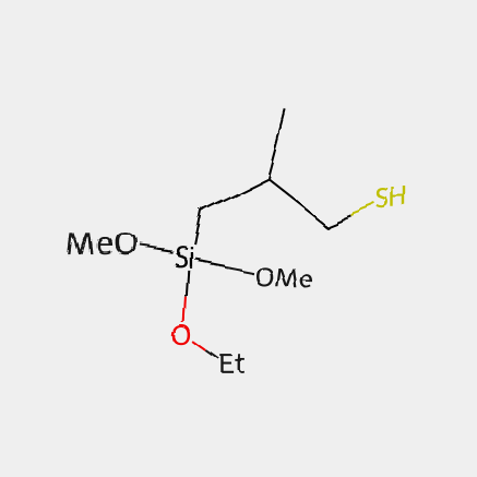 CCO[Si](CC(C)CS)(OC)OC